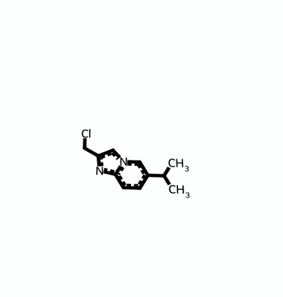 CC(C)c1ccc2nc(CCl)cn2c1